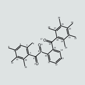 Cc1cc(C)c(C(=O)[P](=O)c2ccccc2C(=O)c2c(C)c(C)c(C)c(C)c2C)c(C)c1C